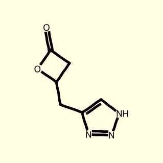 O=C1CC(Cc2c[nH]nn2)O1